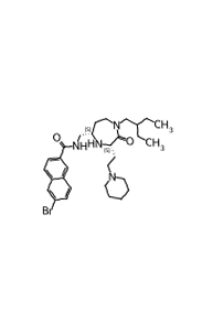 CCC(CC)CN1CC[C@@H](CNC(=O)c2ccc3cc(Br)ccc3c2)N[C@@H](CCN2CCCCC2)C1=O